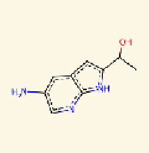 CC(O)c1cc2cc(N)cnc2[nH]1